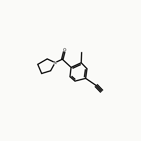 C#Cc1ccc(C(=O)N2CCCC2)c(C)c1